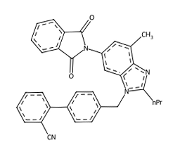 CCCc1nc2c(C)cc(N3C(=O)c4ccccc4C3=O)cc2n1Cc1ccc(-c2ccccc2C#N)cc1